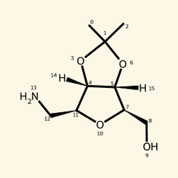 CC1(C)O[C@@H]2[C@H](O1)[C@@H](CO)O[C@H]2CN